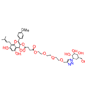 COc1ccc(-c2oc3c(CC=C(C)C)c(O)cc(O)c3c(=O)c2OC(=O)CCC(=O)OCCOCCOCCOCc2cn(C3C[C@H](CO)[C@@H](O)[C@H](O)[C@H]3O)nn2)cc1